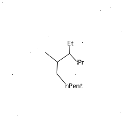 CCCCCCC(C)C(CC)C(C)C